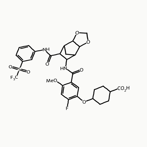 COc1cc(F)c(OC2CCC(C(=O)O)CC2)cc1C(=O)NC1C2CC(C3OCOC23)C1C(=O)Nc1cccc(S(=O)(=O)C(F)(F)F)c1